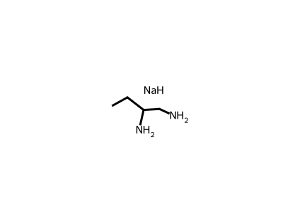 CCC(N)CN.[NaH]